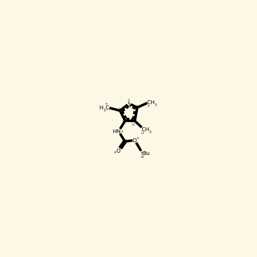 Cc1sc(C)c(NC(=O)OC(C)(C)C)c1C